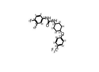 O=C(Nc1ccc(F)c(F)c1)NC1CCC(Oc2ccc(C(F)(F)F)cc2)CC1